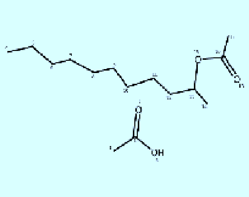 CC(=O)O.CCCCCCCCCC(C)OC(C)=O